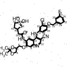 CC1(C)OCC(COc2cc3ncc(C#N)c(Nc4ccc(OCc5cccc(F)c5)c(Cl)c4)c3cc2NC(=O)CC2CCS(O)(O)S2)O1